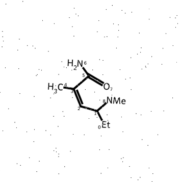 CCC(C=C(C)C(N)=O)NC